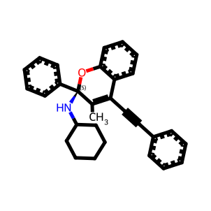 CC1=C(C#Cc2ccccc2)c2ccccc2O[C@@]1(NC1CCCCC1)c1ccccc1